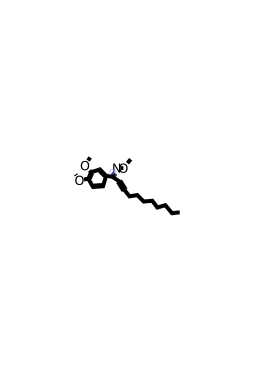 CCCCCCCCC#C/C(=N\OC)c1ccc(OC)c(OC)c1